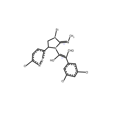 CCN1CC(c2ccc(Cl)nc2)N(/C(O)=C(\C=O)c2cc(Cl)cc(Cl)c2)/C1=N/C